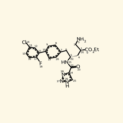 CCOC(=O)[C@H](CN)C[C@@H](Cc1ccc(-c2cc(Cl)ccc2F)cc1)NC(=O)c1c[nH]nn1